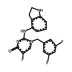 O=c1nc(Nc2cccc3c2CCN3)n(Cc2cc(F)cc(F)c2)cc1F